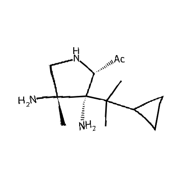 CC(=O)[C@H]1NC[C@@](C)(N)[C@]1(N)C(C)(C)C1CC1